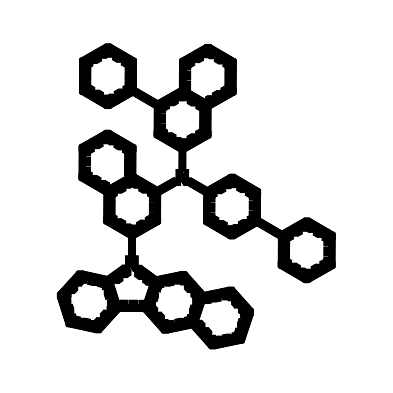 c1ccc(-c2ccc(N(c3cc(-c4ccccc4)c4ccccc4c3)c3cc(-n4c5ccccc5c5cc6ccccc6cc54)cc4ccccc34)cc2)cc1